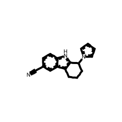 N#Cc1ccc2[nH]c3c(c2c1)CCCC3n1cccc1